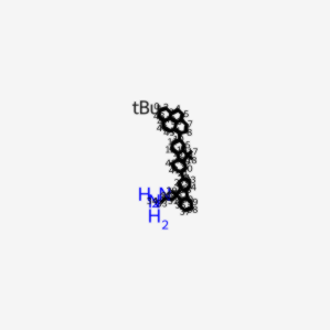 CC(C)(C)c1cc2ccc3ccc(-c4ccc5c(c4)C(C)(C)c4cc(-c6ccc7c(c6)C(CN)(CCCN)c6ccccc6-7)ccc4-5)c4ccc(c1)c2c34